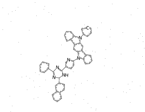 c1ccc(C2=NC(c3ccc4ccccc4c3)NC(c3ccc(-n4c5ccccc5c5cc6c(cc54)c4ccccc4n6-c4ccccc4)nc3)=N2)cc1